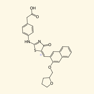 O=C(O)Cc1ccc(NC2=NC(=O)/C(=C\c3cc4ccccc4cc3OCC3CCCO3)S2)cc1